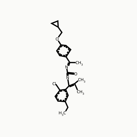 CCc1ccc(Cl)c(C(NC(=O)/N=C(\C)c2ccc(OCC3CC3)cc2)=C(C)C)c1